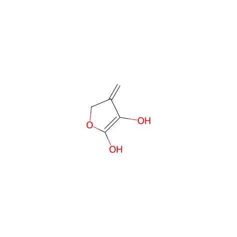 C=C1COC(O)=C1O